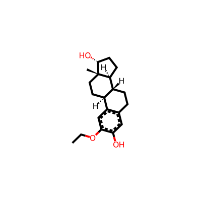 CCOc1cc2c(cc1O)CC[C@@H]1[C@@H]2CC[C@]2(C)[C@H](O)CC[C@@H]12